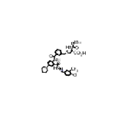 CC(C)(C)OC(=O)N[C@@H](CSCc1cccc(C(=O)Nc2ccc(N3CCCCC3)cc2C(=O)N/N=C/c2ccc(Cl)c(C(F)(F)F)c2)c1)C(=O)O